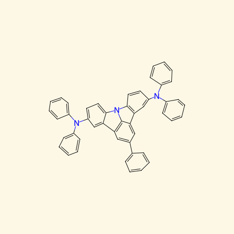 c1ccc(-c2cc3c4cc(N(c5ccccc5)c5ccccc5)ccc4n4c5ccc(N(c6ccccc6)c6ccccc6)cc5c(c2)c34)cc1